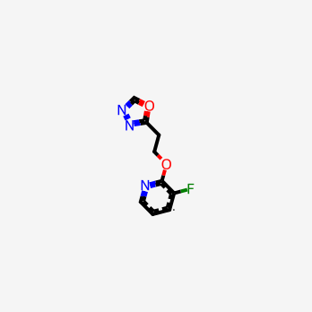 Fc1[c]ccnc1OCCc1nnco1